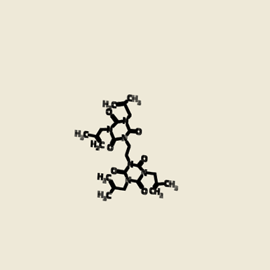 C=C(C)Cn1c(=O)n(CCn2c(=O)n(CC(=C)C)c(=O)n(CC(=C)C)c2=O)c(=O)n(CC(=C)C)c1=O